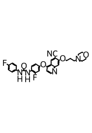 [C-]#[N+]c1cc2c(Oc3ccc(NC(=O)Nc4ccc(F)cc4)c(F)c3)ccnc2cc1OCCCN1CCOCC1